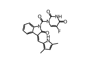 Cc1cc(C)c(/C=C2\C(=O)N(C(=O)n3cc(F)c(=O)[nH]c3=O)c3ccccc32)[nH]1